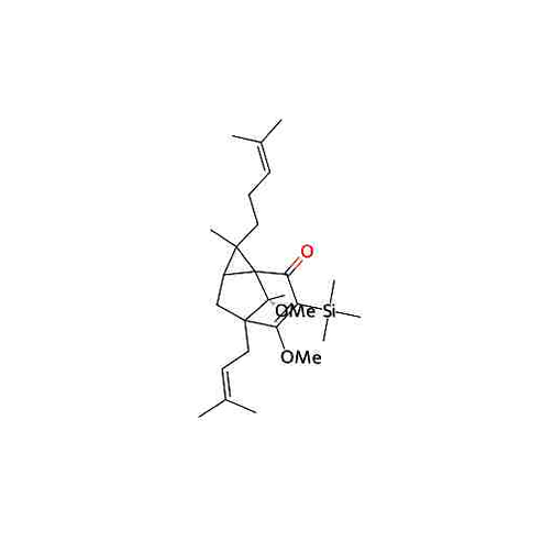 COC1=C([Si](C)(C)C)C(=O)C23C(CC1(CC=C(C)C)[C@@]2(C)OC)C3(C)CCC=C(C)C